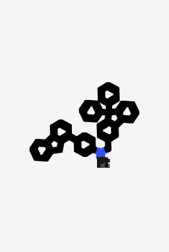 CCN(Cc1ccc2c(c1)-c1ccccc1C2(c1ccccc1)c1ccccc1)c1ccc(-c2cccc3c2Cc2ccccc2-3)cc1